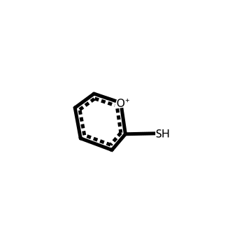 Sc1cccc[o+]1